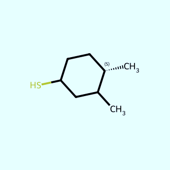 CC1CC(S)CC[C@@H]1C